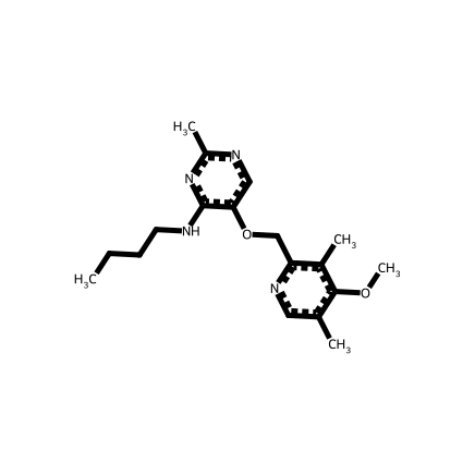 CCCCNc1nc(C)ncc1OCc1ncc(C)c(OC)c1C